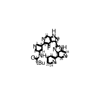 CC(C)(C)C(=O)Nc1cncc(-c2ncc3[nH]nc(-c4nc5c(-c6ccccn6)cncc5[nH]4)c3c2F)c1